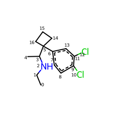 CCNC(C)C1(c2ccc(Cl)c(Cl)c2)CCC1